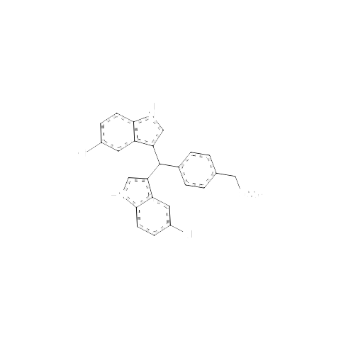 COCc1ccc(C(c2c[nH]c3ccc(Cl)cc23)c2c[nH]c3ccc(Cl)cc23)cc1